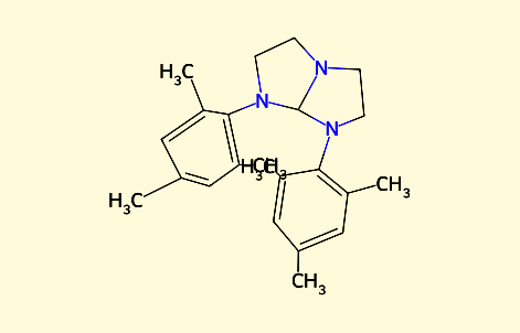 Cc1cc(C)c(N2CCN3CCN(c4c(C)cc(C)cc4C)C32)c(C)c1